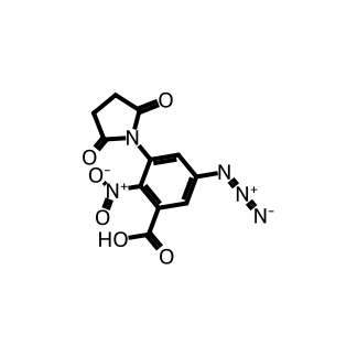 [N-]=[N+]=Nc1cc(C(=O)O)c([N+](=O)[O-])c(N2C(=O)CCC2=O)c1